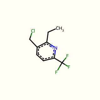 CCc1nc(C(F)(F)F)ccc1CCl